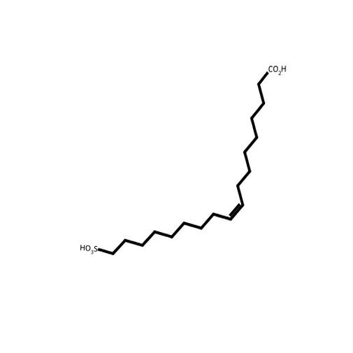 O=C(O)CCCCCCC/C=C\CCCCCCCCS(=O)(=O)O